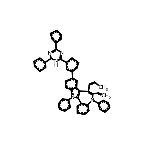 C=CC1=C(/C=C\C)c2c(n(-c3ccccc3)c3ccc(-c4cccc(C5=NC(c6ccccc6)=NC(c6ccccc6)N5)c4)cc23)-c2ccccc2N1c1ccccc1